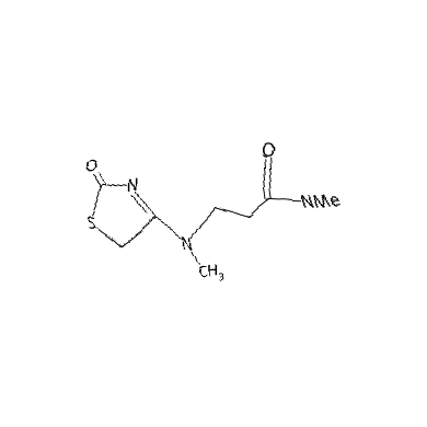 CNC(=O)CCN(C)C1=NC(=O)SC1